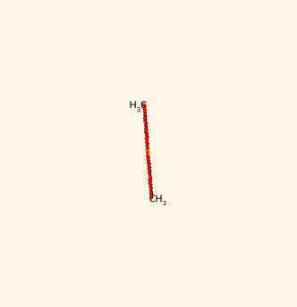 CCCCCCCCCCCCCCCCCCCCCCCCCCCSSCCCCCCCCCCCCCCCCCCCCCCCCCCC